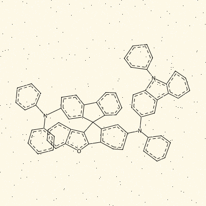 c1ccc(N(c2ccccc2)c2ccc3c(c2)C2(c4ccccc4-3)c3cc(N(c4ccccc4)c4ccc5c(c4)c4ccccc4n5-c4ccccc4)ccc3-c3oc4ccccc4c32)cc1